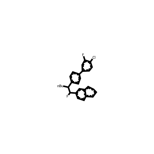 CCCCC(c1ccc(-c2ccc(Cl)c(F)c2)cc1)C(F)c1ccc2ccccc2c1